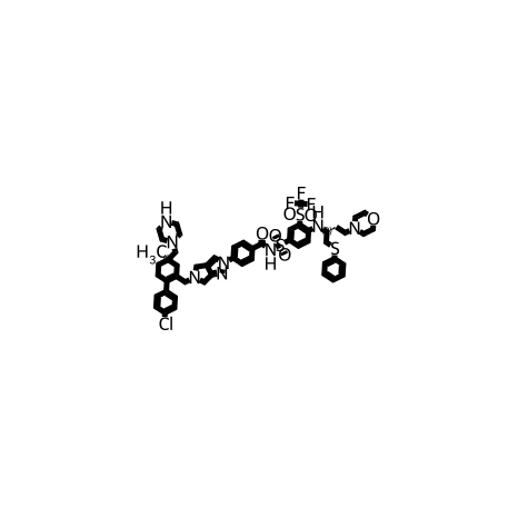 C[C@@]1(CN2CCNCC2)CCC(c2ccc(Cl)cc2)=C(CN2Cc3cn(-c4ccc(C(=O)NS(=O)(=O)c5ccc(N[C@H](CCN6CCOCC6)CSc6ccccc6)c(S(=O)(=O)C(F)(F)F)c5)cc4)nc3C2)C1